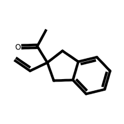 C=CC1(C(C)=O)Cc2ccccc2C1